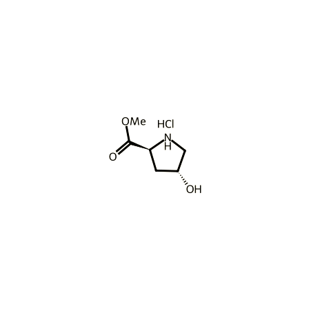 COC(=O)[C@@H]1C[C@@H](O)CN1.Cl